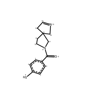 O=C(c1ccc(S)cc1)N1CCC2(CC=NC2)C1